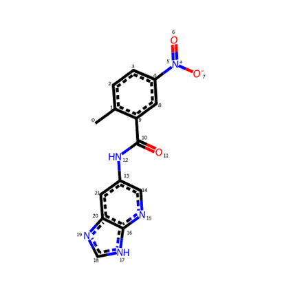 Cc1ccc([N+](=O)[O-])cc1C(=O)Nc1cnc2[nH]cnc2c1